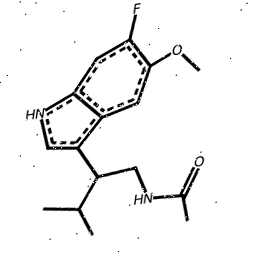 COc1cc2c(C(CNC(C)=O)C(C)C)c[nH]c2cc1F